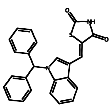 O=C1NC(=O)/C(=C/c2cn(C(c3ccccc3)c3ccccc3)c3ccccc23)S1